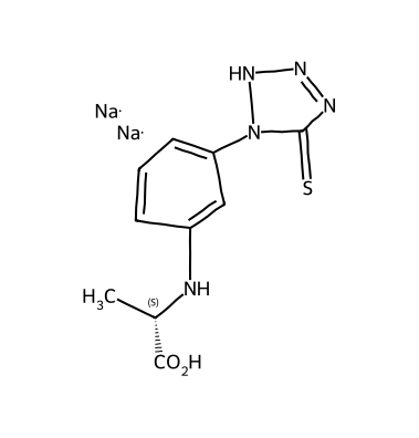 C[C@H](Nc1cccc(-n2[nH]nnc2=S)c1)C(=O)O.[Na].[Na]